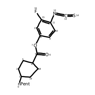 CCCCCC1CCC(C(=O)Oc2ccc(N=C=S)c(F)c2)CC1